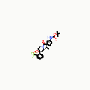 CC(C)[C@]1(C(=O)N2CCC(O)(c3ccccc3C(F)(F)F)CC2)CC[C@@H](NC(=O)OC(C)(C)C)C1